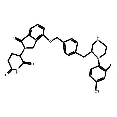 N#Cc1ccc(N2CCNCC2Cc2ccc(COc3cccc4c3CN(C3CCC(=O)NC3=O)C4=O)cc2)c(F)c1